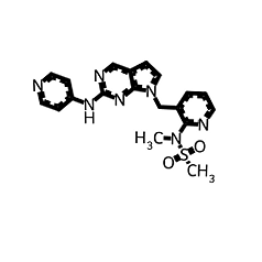 CN(c1ncccc1Cn1ccc2cnc(Nc3ccncc3)nc21)S(C)(=O)=O